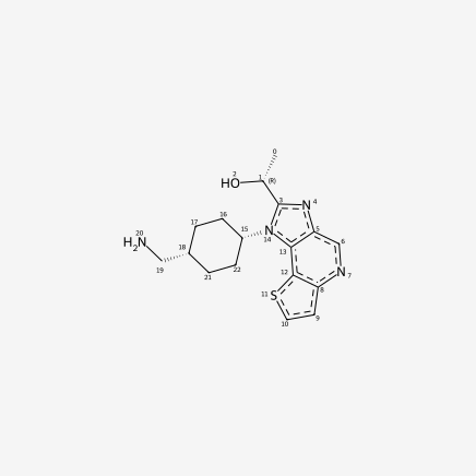 C[C@@H](O)c1nc2cnc3ccsc3c2n1[C@H]1CC[C@@H](CN)CC1